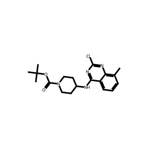 Cc1cccc2c(NC3CCN(C(=O)OC(C)(C)C)CC3)nc(Cl)nc12